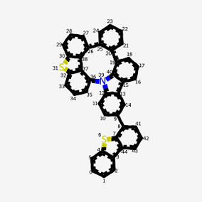 c1ccc2c(c1)sc1c(-c3ccc4c(c3)c3cccc5c6ccccc6c6cccc7sc8cccc(c8c76)n4c53)cccc12